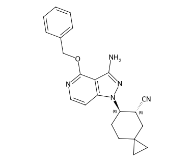 N#C[C@@H]1CC2(CC[C@H]1n1nc(N)c3c(OCc4ccccc4)nccc31)CC2